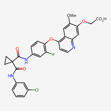 COc1cc2c(Oc3ccc(NC(=O)C4(C(=O)Nc5cccc(Cl)c5)CC4)cc3F)ccnc2cc1OCC(=O)O